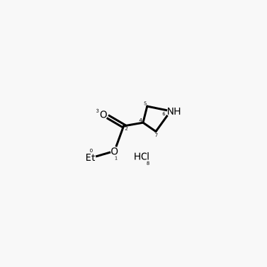 CCOC(=O)C1CNC1.Cl